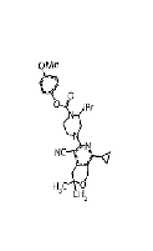 COc1ccc(OC(=O)N2CCN(c3nc(C4CC4)c4c(c3C#N)CC(C)(C)OC4)CC2C(C)C)cc1